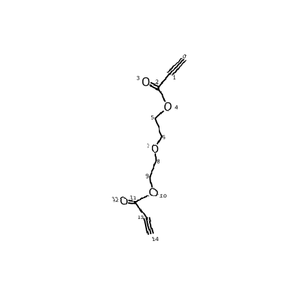 C#CC(=O)OCCOCCOC(=O)C#C